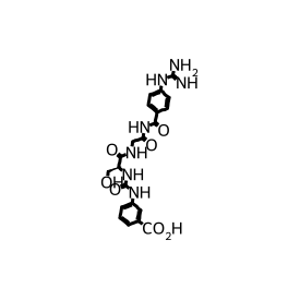 N=C(N)Nc1ccc(C(=O)NC(=O)CNC(=O)[C@H](CO)NC(=O)Nc2cccc(C(=O)O)c2)cc1